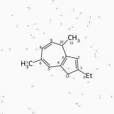 CCC1=CC2=C(C=C(C)C=CC2C)C1